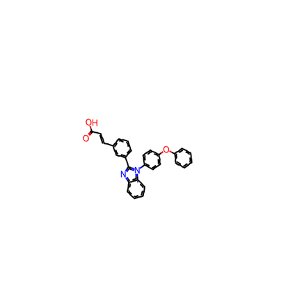 O=C(O)C=Cc1cccc(-c2nc3ccccc3n2-c2ccc(Oc3ccccc3)cc2)c1